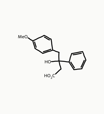 COc1ccc(CC(O)(CC(=O)O)c2ccccc2)cc1